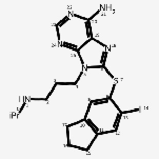 CC(C)NCCCn1c(Sc2cc3c(cc2I)CCC3)nc2c(N)ncnc21